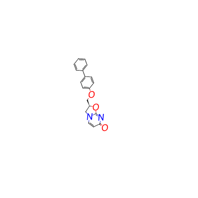 O=c1ccn2c(n1)O[C@H](COc1ccc(-c3ccccc3)cc1)C2